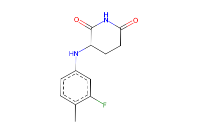 Cc1ccc(NC2CCC(=O)NC2=O)cc1F